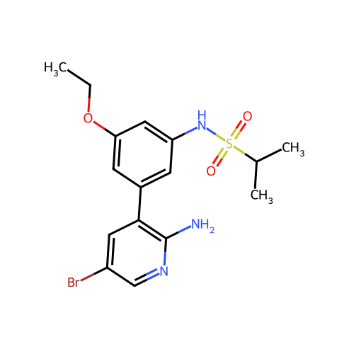 CCOc1cc(NS(=O)(=O)C(C)C)cc(-c2cc(Br)cnc2N)c1